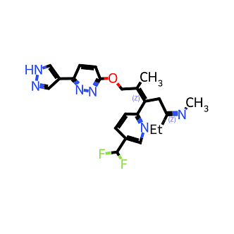 CC/C(C/C(=C(\C)COc1ccc(-c2cn[nH]c2)nn1)c1ccc(C(F)F)cn1)=N/C